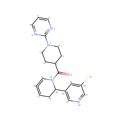 O=C(C1CCN(c2ncccn2)CC1)N1C=C=CCC1c1cncc(F)c1